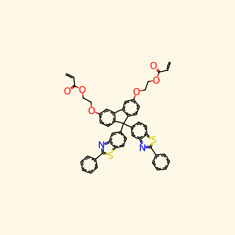 C=CC(=O)OCCOc1ccc2c(c1)-c1cc(OCCOC(=O)C=C)ccc1C2(c1ccc2sc(-c3ccccc3)nc2c1)c1ccc2sc(-c3ccccc3)nc2c1